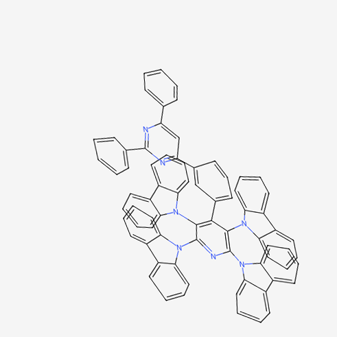 c1ccc(-c2cc(-c3cccc(-c4c(-n5c6ccccc6c6ccccc65)c(-n5c6ccccc6c6ccccc65)nc(-n5c6ccccc6c6ccccc65)c4-n4c5ccccc5c5ccccc54)c3)nc(-c3ccccc3)n2)cc1